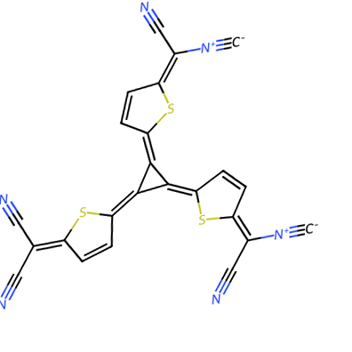 [C-]#[N+]/C(C#N)=c1/cc/c(=C2\C(=c3ccc(=C(C#N)C#N)s3)\C2=c2\cc/c(=C(/C#N)[N+]#[C-])s2)s1